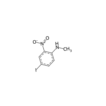 CNc1ccc(I)cc1[N+](=O)[O-]